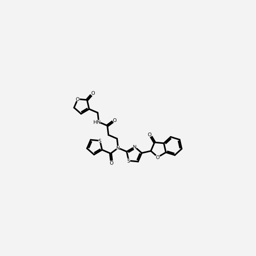 O=C(CCN(C(=O)c1cccs1)c1nc(C2Oc3ccccc3C2=O)cs1)NCC1=CCOC1=O